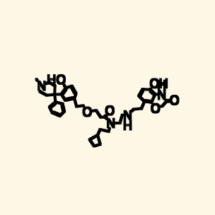 CN1CCC(c2ccccc2)(c2cc(CCOCCC(=O)N(CCNCCc3ccc(O)c4c3OCC(=O)N4)CCC3CCC3)ccc2O)CC1